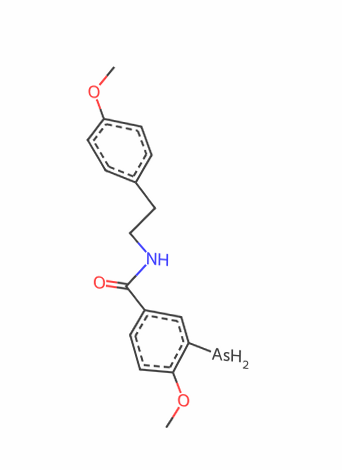 COc1ccc(CCNC(=O)c2ccc(OC)c([AsH2])c2)cc1